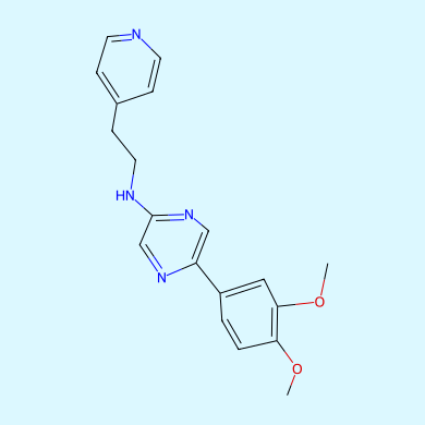 COc1ccc(-c2cnc(NCCc3ccncc3)cn2)cc1OC